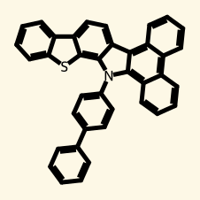 c1ccc(-c2ccc(-n3c4c(ccc5c6ccccc6sc54)c4c5ccccc5c5ccccc5c43)cc2)cc1